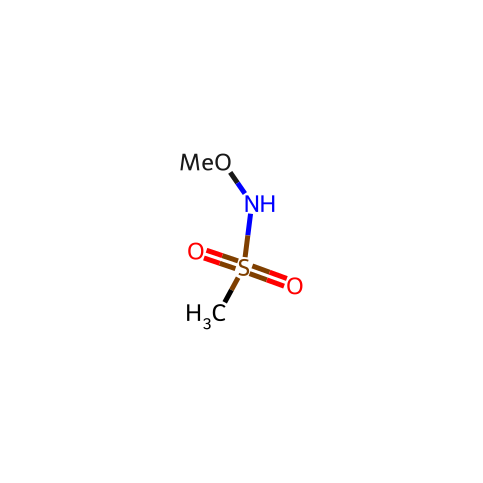 CONS(C)(=O)=O